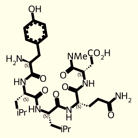 CNC(=O)[C@H](CC(=O)O)NC(=O)[C@H](CCC(N)=O)NC(=O)[C@H](CC(C)C)NC(=O)[C@H](CC(C)C)NC(=O)[C@@H](N)Cc1ccc(O)cc1